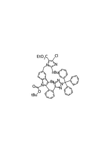 CCCCc1nc(Cl)c(C(=O)OCC)n1Cc1ccc2c(c1)c(Br)c(-c1ccccc1-c1nnn(C(c3ccccc3)(c3ccccc3)c3ccccc3)n1)n2C(=O)OC(C)(C)C